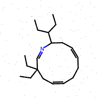 CCC(CC)C1CC=CCCC=CCC(CC)(CC)C=N1